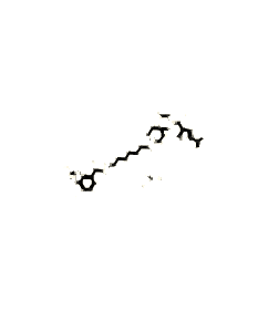 CC(C)c1cc(C(=O)N2CCOC3(CCN(CCCCCCCNC[C@H](O)c4ccc(O)c5[nH]c(=O)sc45)CC3)C2)cs1.O=CO